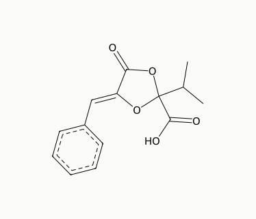 CC(C)C1(C(=O)O)OC(=O)C(=Cc2ccccc2)O1